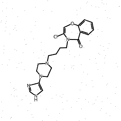 O=C1c2ccccc2OC=C(Cl)N1CCCCN1CCN(c2c[nH]cn2)CC1